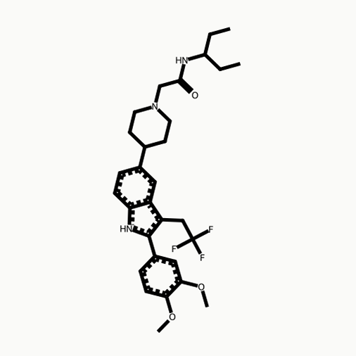 CCC(CC)NC(=O)CN1CCC(c2ccc3[nH]c(-c4ccc(OC)c(OC)c4)c(CC(F)(F)F)c3c2)CC1